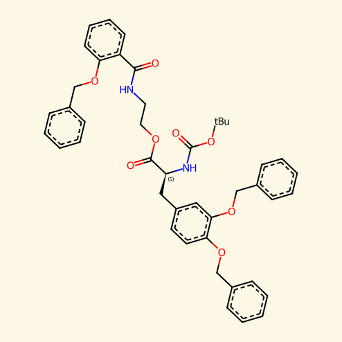 CC(C)(C)OC(=O)N[C@@H](Cc1ccc(OCc2ccccc2)c(OCc2ccccc2)c1)C(=O)OCCNC(=O)c1ccccc1OCc1ccccc1